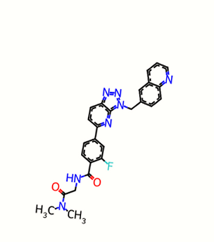 CN(C)C(=O)CNC(=O)c1ccc(-c2ccc3nnn(Cc4ccc5ncccc5c4)c3n2)cc1F